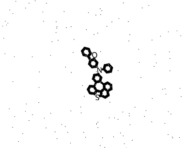 c1ccc(N(c2ccc3c(c2)-c2cccc4ccc5sc6cccc-3c6c5c24)c2ccc3c(c2)oc2ccccc23)cc1